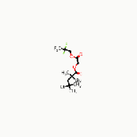 CCC(C)(C)CC(C)(C(=O)OCC(=O)OCC(F)(F)C(F)(F)F)C(C)(C)C